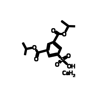 CC(C)OC(=O)c1cc(C(=O)OC(C)C)cc(S(=O)(=O)O)c1.[CaH2]